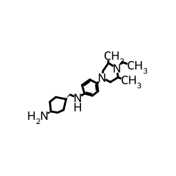 CCN1C(C)CN(c2ccc(NC[C@H]3CC[C@H](N)CC3)cc2)CC1C